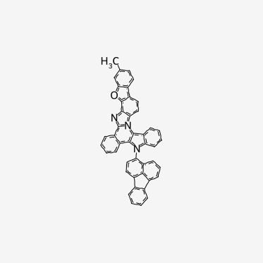 Cc1ccc2c(c1)oc1c2ccc2c1nc1c3ccccc3c3c(c4ccccc4n3-c3ccc4c5c(cccc35)-c3ccccc3-4)n21